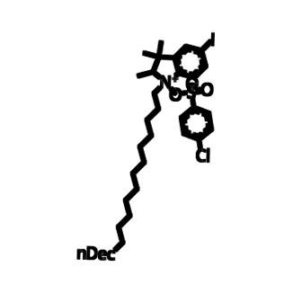 CCCCCCCCCCCCCCCCCCCCCC[N+]1(OS(=O)(=O)c2ccc(Cl)cc2)c2ccc(I)cc2C(C)(C)C1C